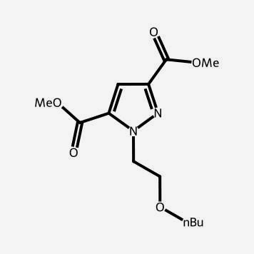 CCCCOCCn1nc(C(=O)OC)cc1C(=O)OC